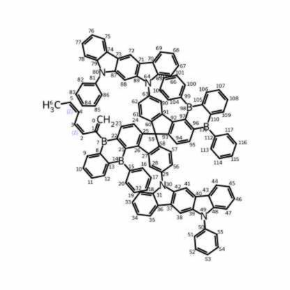 C=C(/C=C\C=C/C)B1c2ccccc2B(c2ccccc2)c2c1ccc1c2-c2cc(-n3c4ccccc4c4cc5c(cc43)c3ccccc3n5-c3ccccc3)ccc2C12c1ccc(-n3c4ccccc4c4cc5c6ccccc6n(-c6ccccc6)c5cc43)cc1-c1c2ccc2c1B(c1ccccc1)c1ccccc1B2c1ccccc1